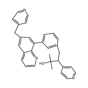 CC(C)(O)C(Cc1cccc(-c2cc(Cc3ccncc3)cc3cccnc23)c1)c1ccncc1